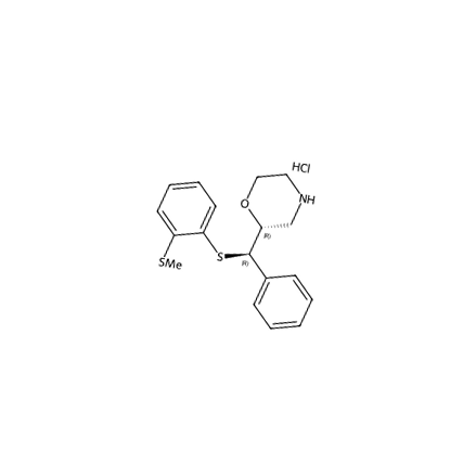 CSc1ccccc1S[C@H](c1ccccc1)[C@H]1CNCCO1.Cl